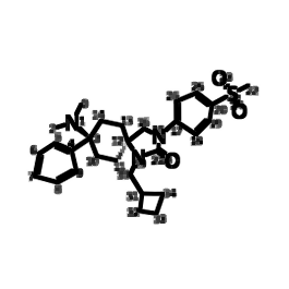 CN(C)[C@]1(c2ccccc2)CC[C@]2(CC1)CN(c1ccc(S(C)(=O)=O)cc1)C(=O)N2CC1CCC1